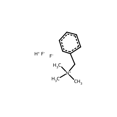 C[N+](C)(C)Cc1ccccc1.[F-].[F-].[H+]